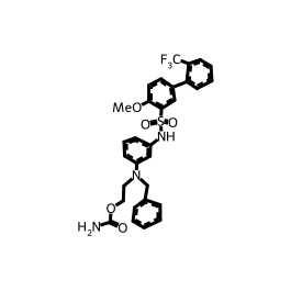 COc1ccc(-c2ccccc2C(F)(F)F)cc1S(=O)(=O)Nc1cccc(N(CCOC(N)=O)Cc2ccccc2)c1